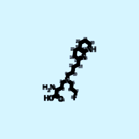 N[C@H](CCN(CCCF)CCCCc1ccc2c(n1)NCCC2)C(=O)O